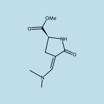 COC(=O)[C@@H]1CC(=CN(C)C)C(=O)N1